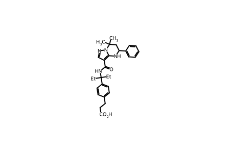 CCC(CC)(NC(=O)c1cnn2c1NC(c1ccccc1)CC2(C)C)c1ccc(CCC(=O)O)cc1